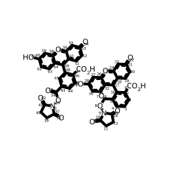 O=C(O)c1cccc(C(=O)ON2C(=O)CCC2=O)c1-c1c2ccc(=O)cc-2oc2cc(O)ccc12.O=C(ON1C(=O)CCC1=O)c1ccc(C(=O)O)c(-c2c3ccc(=O)cc-3oc3cc(O)ccc23)c1